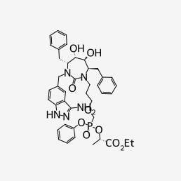 CCOC(=O)[C@H](C)OP(=O)(COCCCN1C(=O)N(Cc2ccc3[nH]nc(N)c3c2)[C@H](Cc2ccccc2)[C@H](O)[C@@H](O)[C@H]1Cc1ccccc1)Oc1ccccc1